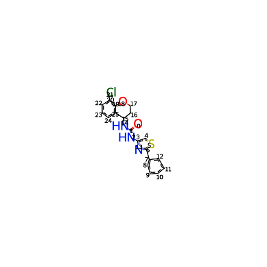 O=C(Nc1csc(-c2ccccc2)n1)N[C@H]1CCOc2c(Cl)cccc21